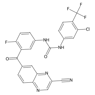 N#Cc1cnc2ccc(C(=O)c3cc(NC(=O)Nc4ccc(C(F)(F)F)c(Cl)c4)ccc3F)cc2n1